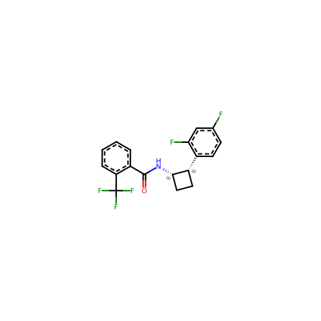 O=C(N[C@H]1CC[C@H]1c1ccc(F)cc1F)c1ccccc1C(F)(F)F